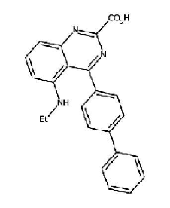 CCNc1cccc2nc(C(=O)O)nc(-c3ccc(-c4ccccc4)cc3)c12